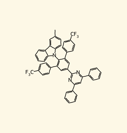 Cc1ccc2c(c1)c1ccccc1n2-c1c(-c2ccc(C(F)(F)F)cc2)cc(-c2nc(-c3ccccc3)cc(-c3ccccc3)n2)cc1-c1ccc(C(F)(F)F)cc1